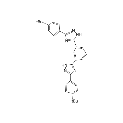 CC(C)(C)c1ccc(-c2n[nH]c(-c3cccc(-c4nc(-c5ccc(C(C)(C)C)cc5)n[nH]4)c3)n2)cc1